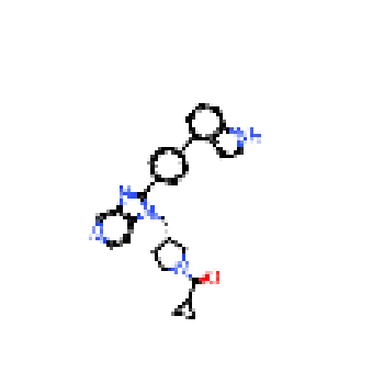 O=C(C1CC1)N1CC[C@H](Cn2c(-c3ccc(-c4cccc5[nH]ccc45)cc3)nc3cnccc32)C1